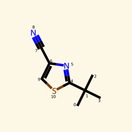 CC(C)(C)c1nc(C#N)cs1